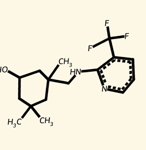 CC1(C)CC(O)CC(C)(CNc2ncccc2C(F)(F)F)C1